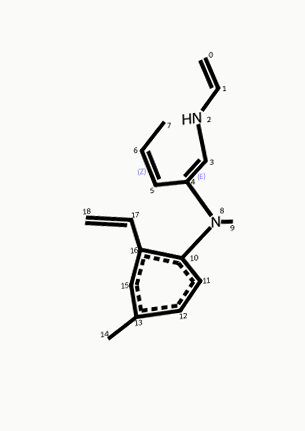 C=CN/C=C(\C=C/C)N(C)c1ccc(C)cc1C=C